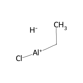 C[CH2][Al+][Cl].[H-]